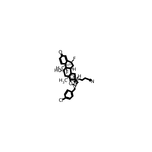 C[C@]12C[C@H](O)[C@@]3(F)[C@@H](C[C@H](F)C4=CC(=O)C=C[C@@]43C)[C@]1(C)C[C@H]1CN(Cc3ccc(Cl)cc3)O[C@]12C(=O)SCCC#N